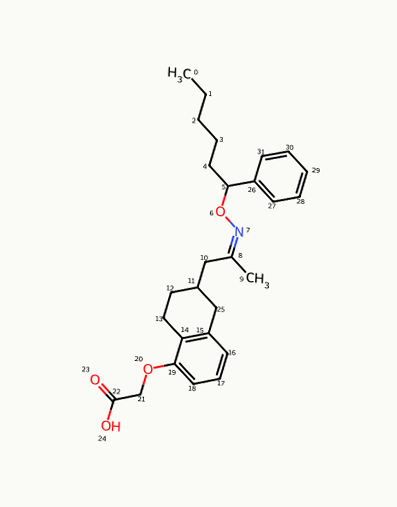 CCCCCC(O/N=C(/C)CC1CCc2c(cccc2OCC(=O)O)C1)c1ccccc1